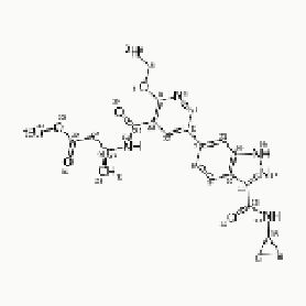 [2H]COc1ncc(-c2ccc3c(C(=O)NC4CC4)n[nH]c3c2)cc1C(=O)N[C@@H](C)CC(=O)OC(C)(C)C